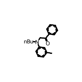 CCCCN(CC(=O)c1ccccc1)c1cccc(C)c1